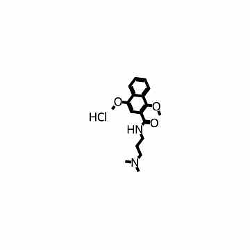 COc1cc(C(=O)NCCCN(C)C)c(OC)c2ccccc12.Cl